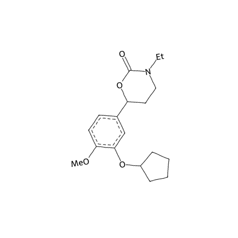 CCN1CCC(c2ccc(OC)c(OC3CCCC3)c2)OC1=O